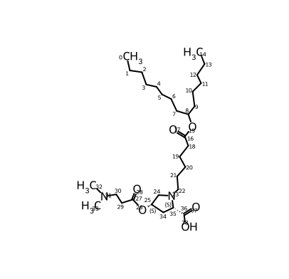 CCCCCCCCC(CCCCCC)OC(=O)CCCCCN1C[C@@H](OC(=O)CCN(C)C)C[C@H]1C(=O)O